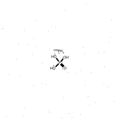 O=P(O)(O)O.[100PH3]